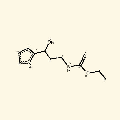 CCOC(=O)NCCC(O)c1cccs1